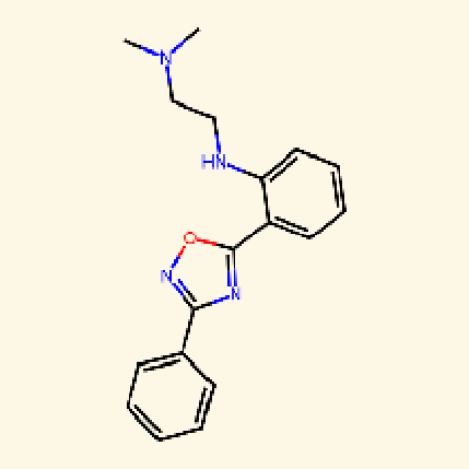 CN(C)CCNc1ccccc1-c1nc(-c2ccccc2)no1